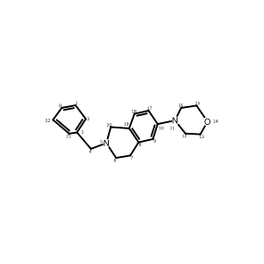 c1ccc(CN2CCc3cc(N4CCOCC4)ccc3C2)cc1